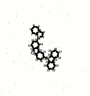 c1ccc2c(c1)ccn2-c1ccc2oc3ccc(-n4c5ccccc5c5ccccc54)cc3c2c1